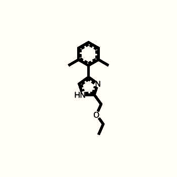 CCOCc1nc(-c2c(C)cccc2C)c[nH]1